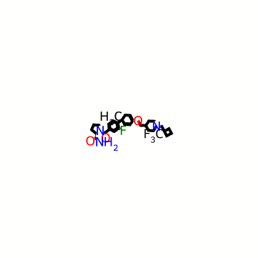 CC1(c2ccc(C(=O)N3CCC[C@H]3C(N)=O)cc2F)C=CC(OCC2CCN(CC3(C(F)(F)F)CCC3)CC2)=CC1